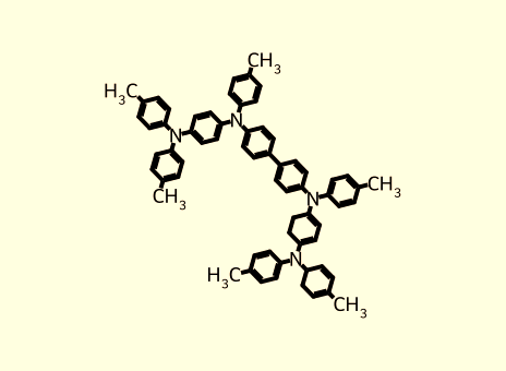 CC1=CCC(N(C2=CC=C(N(c3ccc(C)cc3)c3ccc(-c4ccc(N(c5ccc(C)cc5)c5ccc(N(c6ccc(C)cc6)c6ccc(C)cc6)cc5)cc4)cc3)CC2)c2ccc(C)cc2)C=C1